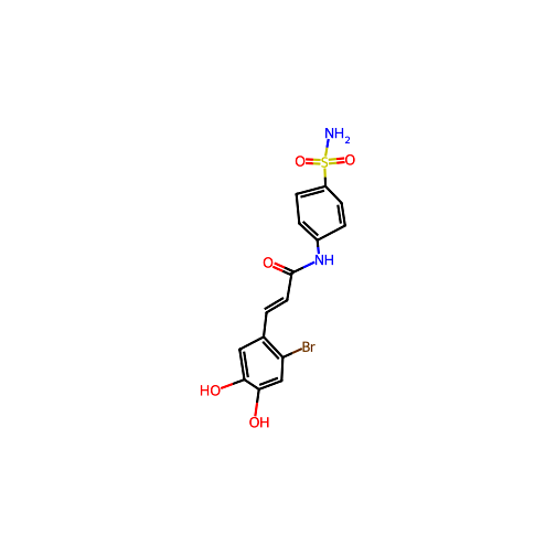 NS(=O)(=O)c1ccc(NC(=O)C=Cc2cc(O)c(O)cc2Br)cc1